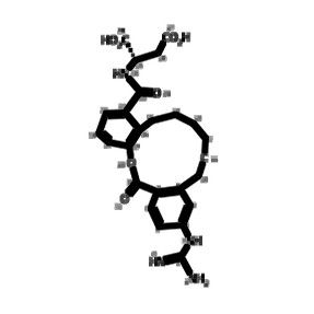 N=C(N)Nc1ccc2c(c1)CCCCCCc1c(cccc1C(=O)N[C@@H](CC(=O)O)C(=O)O)OC2=O